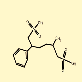 CC(CCC(CS(=O)(=O)O)c1ccccc1)CS(=O)(=O)O